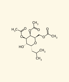 CC(=O)OC[C@H]1O[C@H](CC(C)C)[C@H](O)[C@@H](OC(C)=O)[C@H]1OC(C)=O